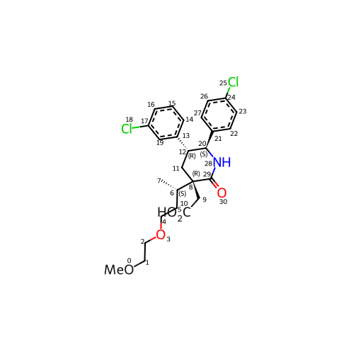 COCCOCC[C@H](C)[C@]1(CC(=O)O)C[C@H](c2cccc(Cl)c2)[C@@H](c2ccc(Cl)cc2)NC1=O